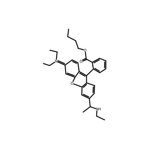 CCCCOC(=O)c1ccccc1-c1c2ccc(=[N+](CC)CC)cc-2oc2cc(C(C)NCC)ccc12